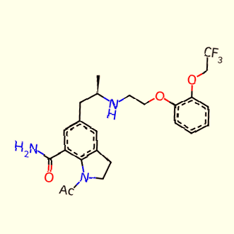 CC(=O)N1CCc2cc(C[C@@H](C)NCCOc3ccccc3OCC(F)(F)F)cc(C(N)=O)c21